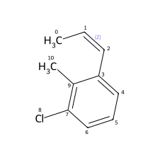 C/C=C\c1cccc(Cl)c1C